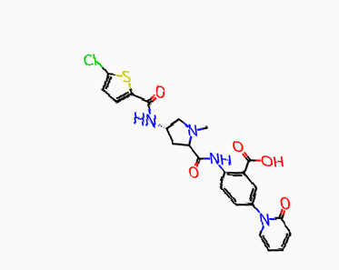 CN1C[C@@H](NC(=O)c2ccc(Cl)s2)CC1C(=O)Nc1ccc(-n2ccccc2=O)cc1C(=O)O